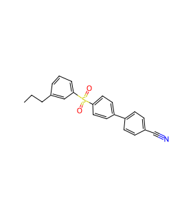 CCCc1cccc(S(=O)(=O)c2ccc(-c3ccc(C#N)cc3)cc2)c1